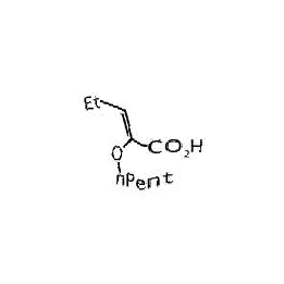 CCC=C(OCCCCC)C(=O)O